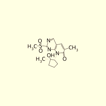 Cc1cc2cnc(S(C)(=O)=O)nc2n([C@@H]2CCC[C@@]2(C)O)c1=O